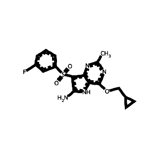 Cc1nc(OCC2CC2)c2[nH]c(N)c(S(=O)(=O)c3cccc(F)c3)c2n1